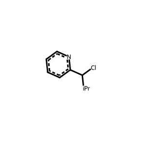 CC(C)C(Cl)c1ccccn1